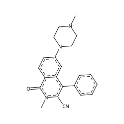 CN1CCN(c2ccc3c(=O)n(C)c(C#N)c(-c4ccccc4)c3c2)CC1